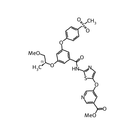 COC[C@H](C)Oc1cc(Oc2ccc(S(C)(=O)=O)cc2)cc(C(=O)Nc2ncc(Oc3cncc(C(=O)OC)c3)s2)c1